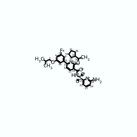 CC(C)COc1cc(F)cc(-c2ccc(C(=O)NS(=O)(=O)c3cccc(N)n3)c(OC(C)C3CCCC3)n2)c1